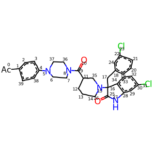 CC(=O)c1ccc(N2CCN(C(=O)C3CCCN(C4(Cc5cccc(Cl)c5)C(=O)Nc5cc(Cl)ccc54)C3)CC2)cc1